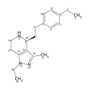 CCc1ccc(CC[C@@H]2NCCc3c2c(C)nn3CC)cc1